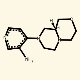 Nc1cnccc1N1CCN2CCOC[C@H]2C1